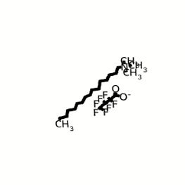 CCCCCCCCCCCCCCCC[N+](C)(C)C.O=C([O-])C(F)(F)C(F)(F)C(F)(F)F